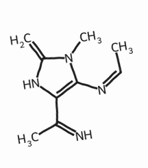 C=C1NC(C(C)=N)=C(/N=C\C)N1C